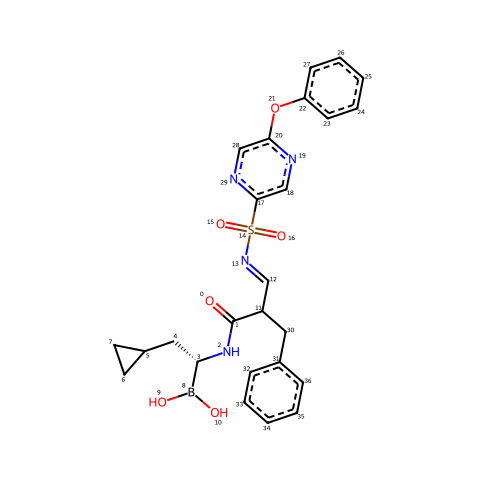 O=C(N[C@@H](CC1CC1)B(O)O)C(/C=N/S(=O)(=O)c1cnc(Oc2ccccc2)cn1)Cc1ccccc1